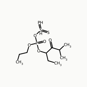 CCCOP(=O)(OC(CC)C(=O)C(C)C)O[SH](=P)=S